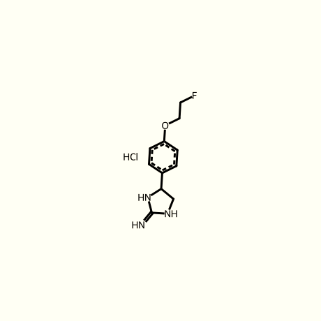 Cl.N=C1NCC(c2ccc(OCCF)cc2)N1